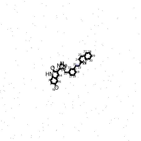 COc1ccc2[nH]c(=O)c(-c3nnnn3Cc3cccc(/C=C/c4ccc5ccccc5n4)c3)cc2c1